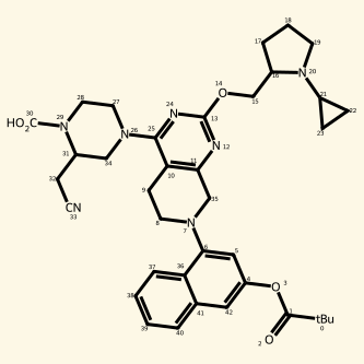 CC(C)(C)C(=O)Oc1cc(N2CCc3c(nc(OCC4CCCN4C4CC4)nc3N3CCN(C(=O)O)C(CC#N)C3)C2)c2ccccc2c1